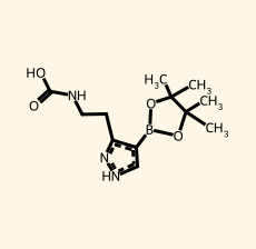 CC1(C)OB(c2c[nH]nc2CCNC(=O)O)OC1(C)C